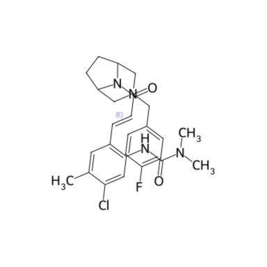 Cc1cc(/C=C/C(=O)N2C3CCC2CN(Cc2ccc(F)cc2)C3)c(NC(=O)N(C)C)cc1Cl